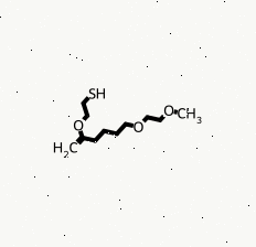 C=C(CCCCOCCOC)OCCS